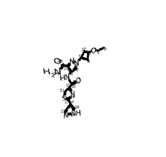 CCOC1CC(n2cc(NC(=O)c3csc(-c4cn[nH]c4)n3)c(C(N)=O)n2)C1